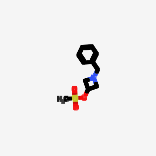 CS(=O)(=O)OC1CN(Cc2ccccc2)C1